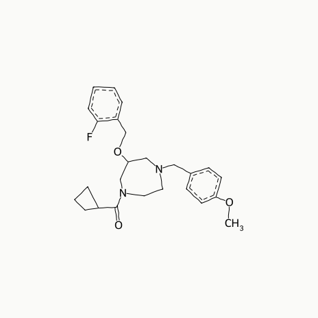 COc1ccc(CN2CCN(C(=O)C3CCC3)CC(OCc3ccccc3F)C2)cc1